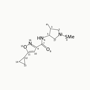 CSN1CC(C)C(NC(=O)c2cc(C3CC3)on2)C1